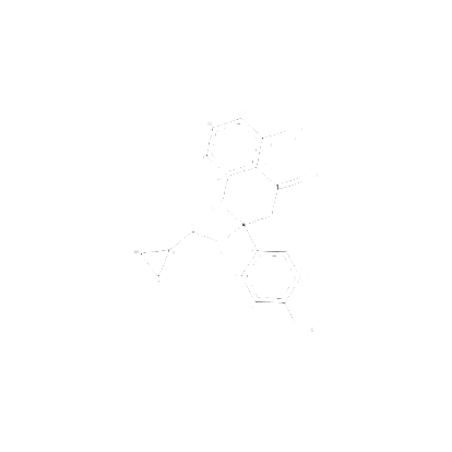 CC(C)COc1ccc(C2(OCC3CC3)CC(=O)c3c(O)cccc3O2)cc1